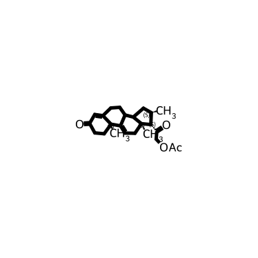 CC(=O)OCC(=O)[C@H]1[C@@H](C)CC2C3CCC4=CC(=O)CC[C@]4(C)C3=CC[C@@]21C